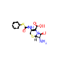 NC1C(=O)N2C(C(=O)O)=C(NC(=O)Sc3ccccc3)CS[C@H]12